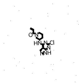 C=CC(=O)N1CCC[C@@H](Nc2nc(Cl)nc3[nH]ncc23)C1